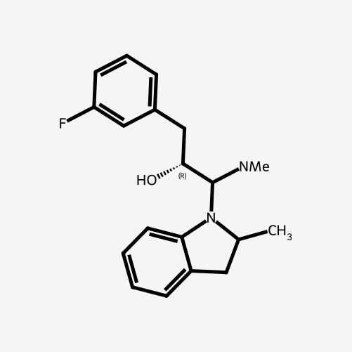 CNC([C@H](O)Cc1cccc(F)c1)N1c2ccccc2CC1C